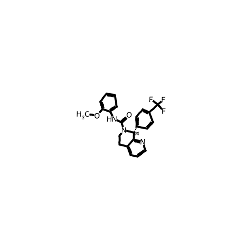 COc1ccccc1NC(=O)N1CCc2cccnc2[C@H]1c1ccc(C(F)(F)F)cc1